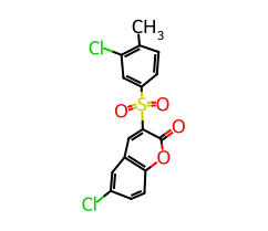 Cc1ccc(S(=O)(=O)c2cc3cc(Cl)ccc3oc2=O)cc1Cl